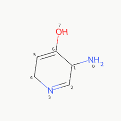 NC1C=NCC=C1O